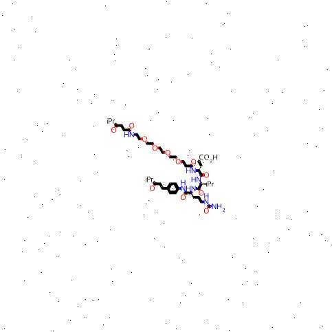 CC(C)C(=O)CCC(=O)NCCOCCOCCOCCOCCC(=O)N[C@H](CCC(=O)O)C(=O)N[C@H](C(=O)N[C@@H](CCCNC(N)=O)C(=O)Nc1ccc(CCC(=O)C(C)C)cc1)C(C)C